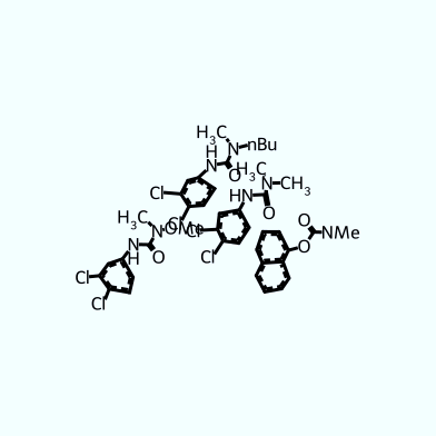 CCCCN(C)C(=O)Nc1ccc(Cl)c(Cl)c1.CN(C)C(=O)Nc1ccc(Cl)c(Cl)c1.CNC(=O)Oc1cccc2ccccc12.CON(C)C(=O)Nc1ccc(Cl)c(Cl)c1